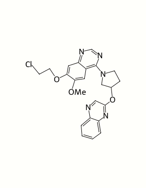 COc1cc2c(N3CCC(Oc4cnc5ccccc5n4)C3)ncnc2cc1OCCCl